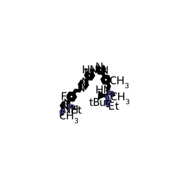 C/C=C1/CCN(c2ccc(CCN3CCN(c4ccc(Nc5cc(-c6ccc(CNC(=C/C)/C(=N/C(=C\CC)C(C)(C)C)C7CC7)c(C)c6)ncn5)nc4)CC3)cc2F)/C(=C/CC)N1